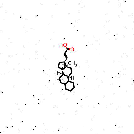 C[C@]12CC[C@H]3[C@@H](CCC4CCCC[C@@]43C)[C@@H]1CC[C@H]2C=CC(=O)O